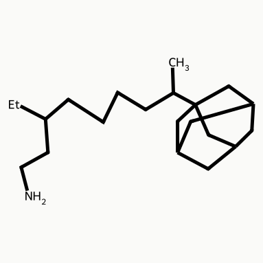 CCC(CCN)CCCCC(C)C12CC3CC(CC(C3)C1)C2